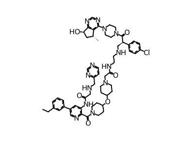 CCc1cccc(-c2cnc(C(=O)N3CCC(OC4CCN(CC(=O)NCCNC[C@@H](C(=O)N5CCN(c6ncnc7c6[C@H](C)C[C@H]7O)CC5)c5ccc(Cl)cc5)CC4)CC3)c(NC(=O)CNCc3ccncn3)c2)c1